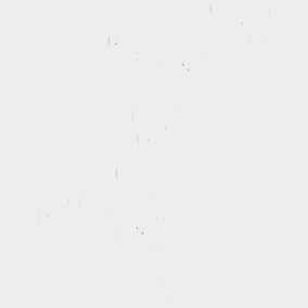 CC(C)(C)c1ccc(N(c2ccc(Br)cc2)c2ccc3c(c2)C(C)(C)c2c4c(c5ccccc5c2-3)-c2ccc(N(c3ccc(Br)cc3)c3ccc(C(C)(C)C)cc3)cc2C4(C)C)cc1